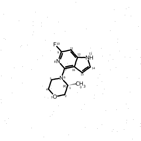 C[C@@H]1COCCN1c1nc(F)cc2[nH]ccc12